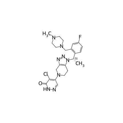 C[C@@H](c1ccc(F)cc1CN1CCN(C)CC1)n1nnc2c1CCN(c1cn[nH]c(=O)c1Cl)C2